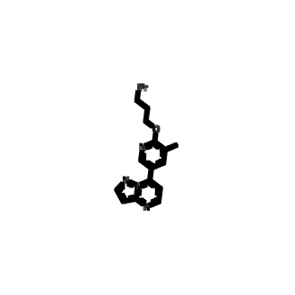 Cc1cc(-c2ccnc3ccnn23)cnc1OCCCC(C)C